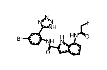 O=C(CF)Nc1cccc2cc(C(=O)Nc3ccc(Br)cc3-c3nnn[nH]3)[nH]c12